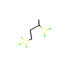 CC(CCS(Cl)(Cl)Cl)[SH](Cl)Cl